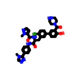 Cn1cnnc1-c1ccc(NC(=O)C(Cc2cc(-c3ccc(O)c(C(=O)N4CCNCC4)c3)ccc2Cl)NC(=O)c2ccnn2C)cc1